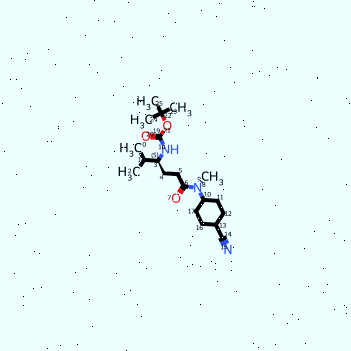 CC(C)[C@H](CCC(=O)N(C)C1CCC(C#N)CC1)NC(=O)OC(C)(C)C